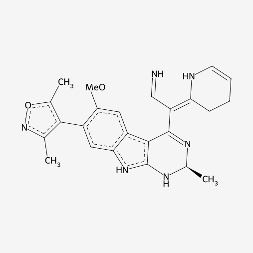 COc1cc2c3c([nH]c2cc1-c1c(C)noc1C)N[C@H](C)N=C3/C(C=N)=C1\CCC=CN1